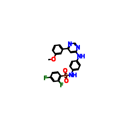 COc1cccc(-c2cc(Nc3ccc(NS(=O)(=O)c4ccc(F)cc4F)cc3)ncn2)c1